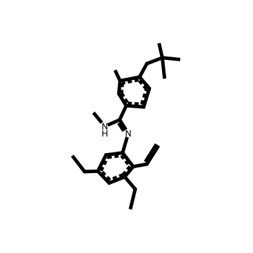 C=Cc1c(CC)cc(CC)cc1/N=C(\NC)c1ccc(CC(C)(C)C)c(C)c1